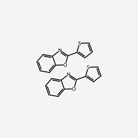 c1csc(-c2nc3ccccc3o2)c1.c1csc(-c2nc3ccccc3o2)c1